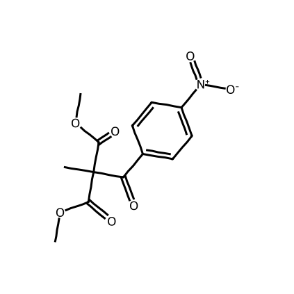 COC(=O)C(C)(C(=O)OC)C(=O)c1ccc([N+](=O)[O-])cc1